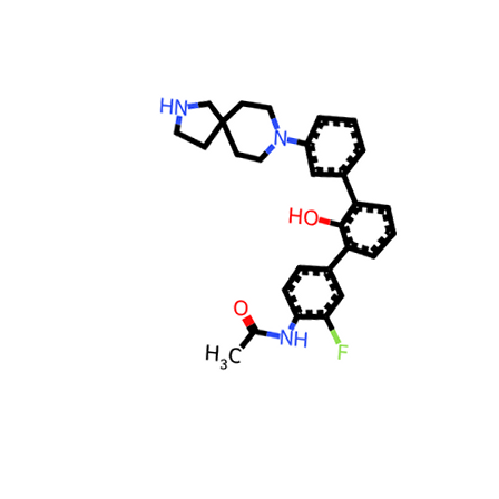 CC(=O)Nc1ccc(-c2cccc(-c3cccc(N4CCC5(CCNC5)CC4)c3)c2O)cc1F